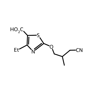 CCc1nc(OCC(C)CC#N)sc1C(=O)O